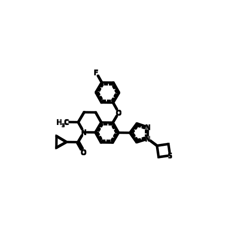 CC1CCc2c(ccc(-c3cnn(C4CSC4)c3)c2Oc2ccc(F)cc2)N1C(=O)C1CC1